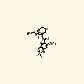 COc1cc(NS(C)(=O)=O)c(Cl)cc1C(=O)NC12CCCC(CC1)N2CCC(C)C